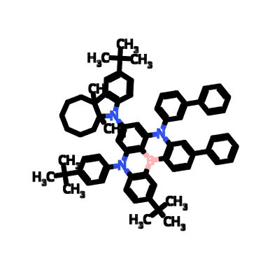 CC(C)(C)c1ccc(N2c3ccc(C(C)(C)C)cc3B3c4ccc(-c5ccccc5)cc4N(c4cccc(-c5ccccc5)c4)c4cc(N5c6ccc(C(C)(C)C)cc6C6(C)CCCCCCC56C)cc2c43)cc1